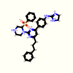 O=S(=O)(c1ccccc1)C1CNCCN1c1nc(CCCc2ccccc2)cc(-c2ccc(NC3=NCCN3)cc2)n1